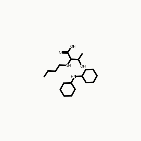 C1CCC(NC2CCCCC2)CC1.CCCCNC(C(=O)O)C(C)O